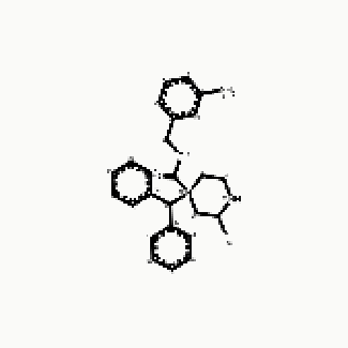 Nc1cccc(COC(=O)[N+]2(C(c3ccccc3)c3ccccc3)CCNC(F)C2)c1